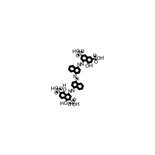 O=S(=O)(O)c1cc(O)c2c(N=Nc3ccc(N=Nc4ccc(N=Nc5cc(S(=O)(=O)O)c(O)c6ccc(S(=O)(=O)O)c(O)c56)c5ccccc45)c4ccccc34)cc(S(=O)(=O)O)cc2c1